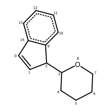 C1=CC(C2CCCCO2)c2ccccc21